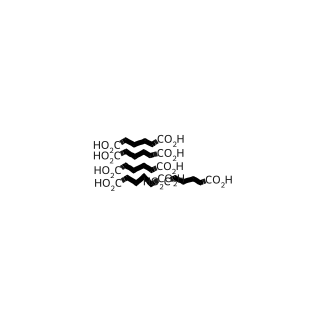 O=C(O)CCCCC(=O)O.O=C(O)CCCCC(=O)O.O=C(O)CCCCC(=O)O.O=C(O)CCCCC(=O)O.O=C(O)CCCCC(=O)O